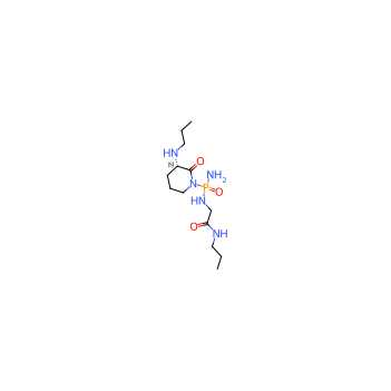 CCCNC(=O)CNP(N)(=O)N1CCC[C@H](NCCC)C1=O